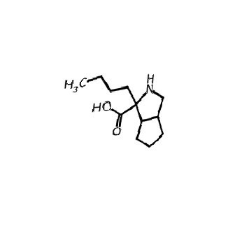 CCCCC1(C(=O)O)NCC2CCCC21